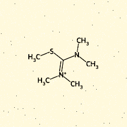 CSC(N(C)C)=[N+](C)C